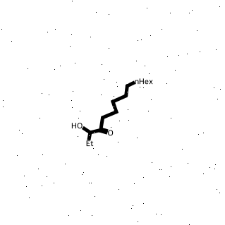 [CH2]CC(O)C(=O)CCCCCCCCCCC